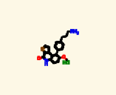 COc1ccc2[nH]c(=O)c3sccc3c2c1-c1ccc(CCCN)cc1.Cl